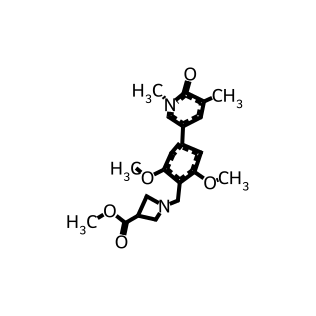 COC(=O)C1CN(Cc2c(OC)cc(-c3cc(C)c(=O)n(C)c3)cc2OC)C1